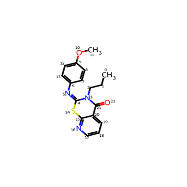 CCCn1c(=Nc2ccc(OC)cc2)sc2ncccc2c1=O